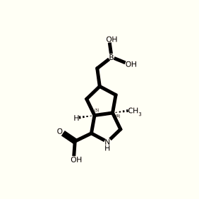 C[C@]12CNC(C(=O)O)[C@H]1CC(CB(O)O)C2